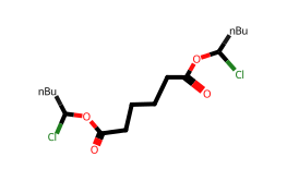 CCCCC(Cl)OC(=O)CCCCC(=O)OC(Cl)CCCC